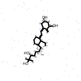 C=C1/C(=C\C=C2CCC[C@@]3(C)C2CC[C@@H]3[C@H](C)CC[C@@H](O)C(C)(C)O)C[C@@H](O)CC1O